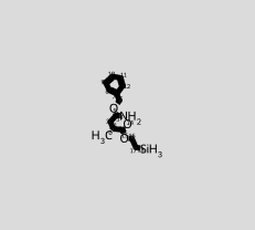 CC(CC(N)OCc1ccccc1)C(=O)OCC[SiH3]